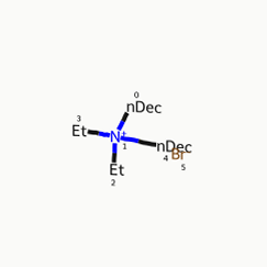 CCCCCCCCCC[N+](CC)(CC)CCCCCCCCCC.[Br-]